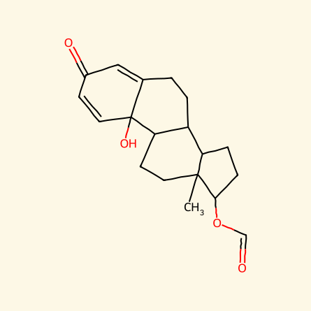 CC12CCC3C(CCC4=CC(=O)C=CC43O)C1CCC2OC=O